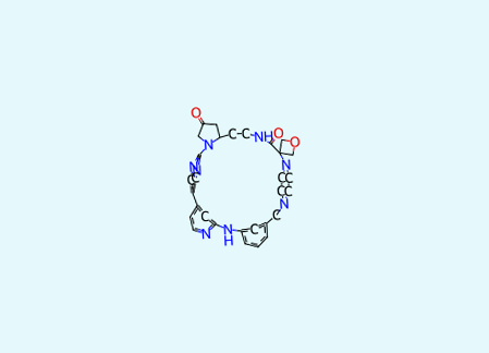 O=C1CC2CCNC(=O)C3(COC3)N3CCN(CC3)Cc3cccc(c3)Nc3cc(ccn3)-c3cnc(nc3)N2C1